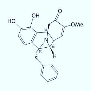 COC1=CC2[C@@H]3[C@H](Sc4ccccc4)c4ccc(O)c(O)c4[C@@]2(CC1=O)CN3C